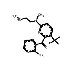 CNCCN(C)c1ccc(C(F)(F)F)c(C(=O)c2cccnc2N)n1